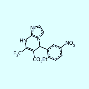 CCOC(=O)C1=C(C(F)(F)F)Nc2nccn2C1c1cccc([N+](=O)[O-])c1